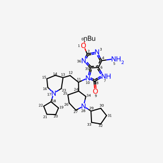 CCCCOc1nc(N)c2[nH]c(=O)n(C(CC3CCCN(C4CCCC4)C3)C3CCCN(C4CCCC4)C3)c2n1